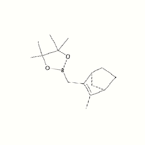 CC1=C(CB2OC(C)(C)C(C)(C)O2)C2CCC1C2